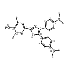 Cc1cc(-c2nc(-c3ccc(N(C)C)cc3)c(-c3ccc(N(C)C)cc3)o2)cc(C)c1O